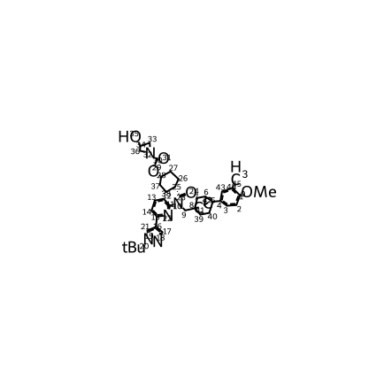 COc1ccc(C23CCC(CN(c4cccc(-c5cnn(C(C)(C)C)c5)n4)C(=O)[C@H]4CC[C@H](OC(=O)N5CC(O)C5)CC4)(CC2)CC3)cc1C